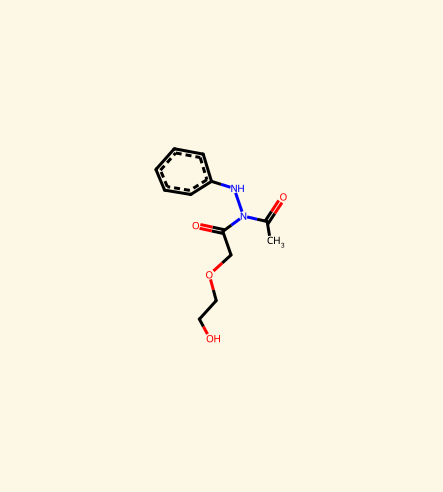 CC(=O)N(Nc1ccccc1)C(=O)COCCO